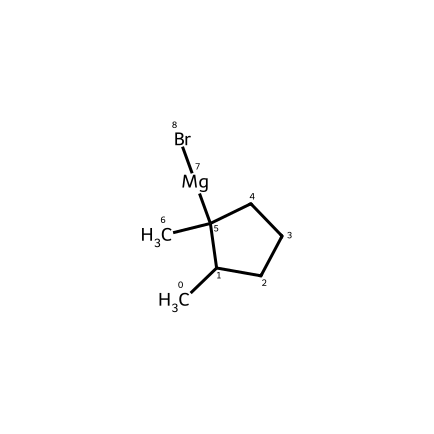 CC1CCC[C]1(C)[Mg][Br]